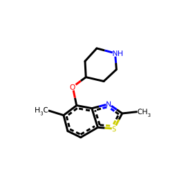 Cc1nc2c(OC3CCNCC3)c(C)ccc2s1